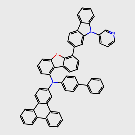 c1ccc(-c2ccc(N(c3ccc4c5ccccc5c5ccccc5c4c3)c3cccc4oc5c(-c6ccc7c8ccccc8n(-c8cccnc8)c7c6)cccc5c34)cc2)cc1